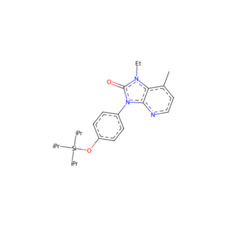 CCn1c(=O)n(-c2ccc(O[Si](C(C)C)(C(C)C)C(C)C)cc2)c2nccc(C)c21